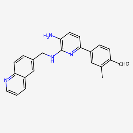 Cc1cc(-c2ccc(N)c(NCc3ccc4ncccc4c3)n2)ccc1C=O